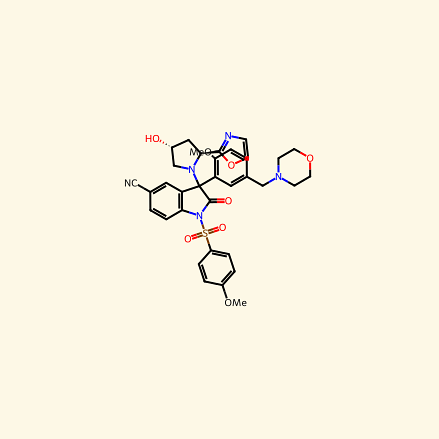 COc1ccc(S(=O)(=O)N2C(=O)C(c3cc(CN4CCOCC4)ccc3OC)(N3C[C@H](O)C[C@H]3c3ncco3)c3cc(C#N)ccc32)cc1